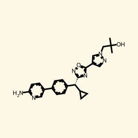 CC(C)(O)Cn1cc(-c2nc([C@@H](c3ccc(-c4ccc(N)nc4)cc3)C3CC3)no2)cn1